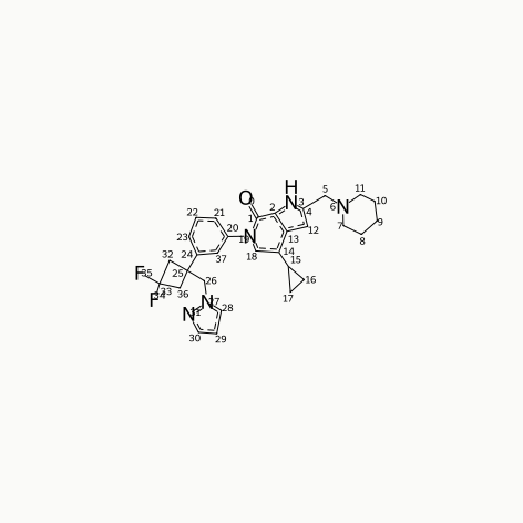 O=c1c2[nH]c(CN3CCCCC3)cc2c(C2CC2)cn1-c1cccc(C2(Cn3cccn3)CC(F)(F)C2)c1